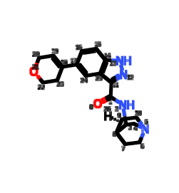 O=C(N[C@H]1CN2CCC1CC2)c1n[nH]c2ccc(C3=CCOCC3)cc12